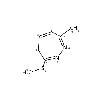 CSC1=NN=C(C)C=CC1